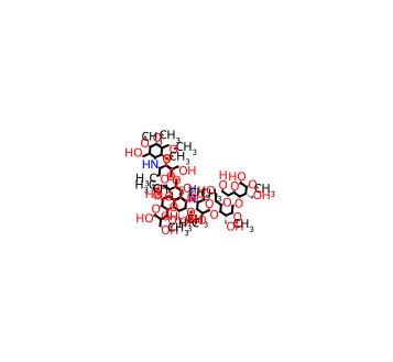 COCC1C(SCCOCCSC2C(CCO)[C@H](CO)[C@@H](CO)C(OC)[C@H]2N[C@@H]2C(C)O[C@H](O[C@@H]3C(CCO)O[C@H](O[C@@H]4C(CCO)OC(O)C(OC)[C@@H]4CO)C(OC)[C@@H]3CO)C(OC)[C@@H]2CO)[C@@H](N[C@H]2C(C)O[C@@H](O[C@H]3C(COC)O[C@@H](O[C@H]4C(COC)OC(O)C(CO)[C@H]4OC)C(CO)[C@H]3OC)C(CO)[C@H]2OC)C(CO)[C@@H](OC)[C@@H]1OC